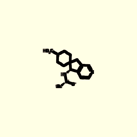 CC(C)(C)[S@@+]([O-])N[C@H]1c2ccncc2CC12CCN(C(=O)O)CC2